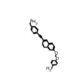 PCc1ccc(C#Cc2ccc3cc(OCOc4ccc(P)cc4)ccc3c2)cc1